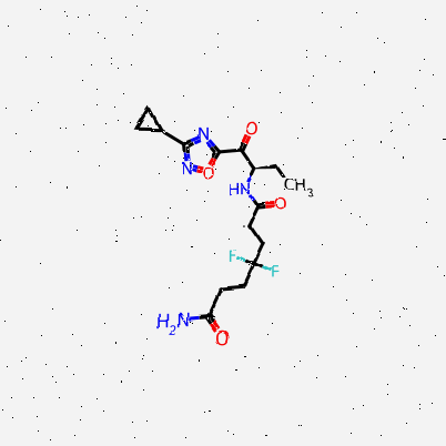 CC[C@@H](NC(=O)[CH]CC(F)(F)CCC(N)=O)C(=O)c1nc(C2CC2)no1